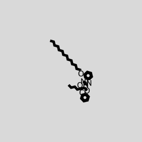 CCCCCCCCCCCCCCOc1cccc2nn(C(Oc3ccccc3)C(O)(Cl)CCCC)nc12